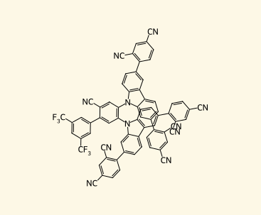 N#Cc1ccc(-c2ccc3c(c2)c2ccc(-c4ccc(C#N)cc4C#N)cc2n3-c2cc(C#N)c(-c3cc(C(F)(F)F)cc(C(F)(F)F)c3)cc2-n2c3ccc(-c4ccc(C#N)cc4C#N)cc3c3ccc(-c4ccc(C#N)cc4C#N)cc32)c(C#N)c1